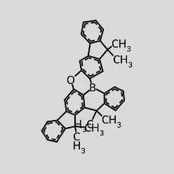 CC1(C)c2ccccc2-c2cc3c(cc21)B1c2ccccc2C(C)(C)c2c1c(cc1c2C(C)(C)c2ccccc2-1)O3